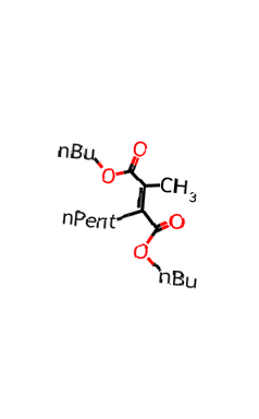 CCCCCC(C(=O)OCCCC)=C(C)C(=O)OCCCC